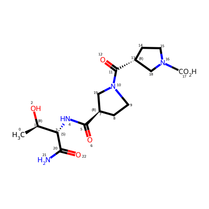 C[C@@H](O)[C@H](NC(=O)[C@@H]1CCN(C(=O)[C@@H]2CCN(C(=O)O)C2)C1)C(N)=O